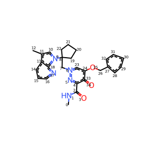 CNC(=O)c1nn(CC2(n3cc(C)c4cccnc43)CCCC2)cc(OCc2ccccc2)c1=O